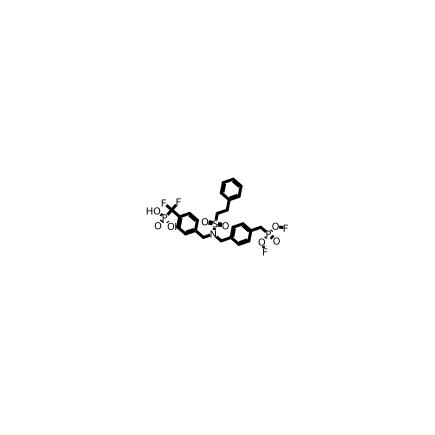 O=P(Cc1ccc(CN(Cc2ccc(C(F)(F)P(=O)(O)O)cc2)S(=O)(=O)CCc2ccccc2)cc1)(OF)OF